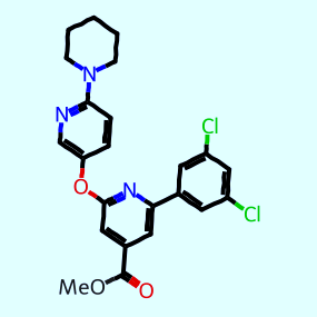 COC(=O)c1cc(Oc2ccc(N3CCCCC3)nc2)nc(-c2cc(Cl)cc(Cl)c2)c1